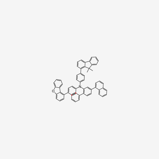 CC1(C)c2ccccc2-c2cccc(-c3ccc(N(c4ccc(-c5cccc6oc7ccccc7c56)cc4)c4cc(-c5cccc6ccccc56)ccc4-c4ccccc4)cc3)c21